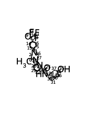 CC1CN(c2ccc(C(=O)C(F)(F)F)cc2)CCN1c1cccc(C(=O)NC2C3CC4CC2CC(O)(C4)C3)n1